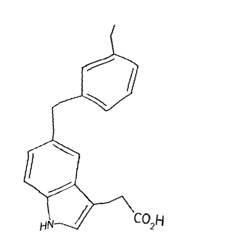 Cc1cccc(Cc2ccc3[nH]cc(CC(=O)O)c3c2)c1